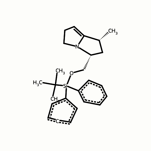 C[C@@H]1C[C@H](CO[Si](c2ccccc2)(c2ccccc2)C(C)(C)C)N2CCC=C12